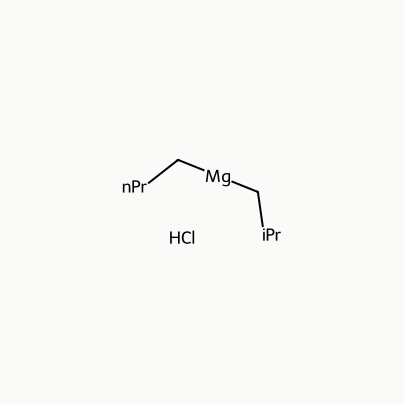 CCC[CH2][Mg][CH2]C(C)C.Cl